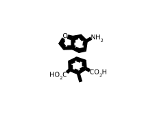 Cc1c(C(=O)O)cccc1C(=O)O.Nc1ccc2ccoc2c1